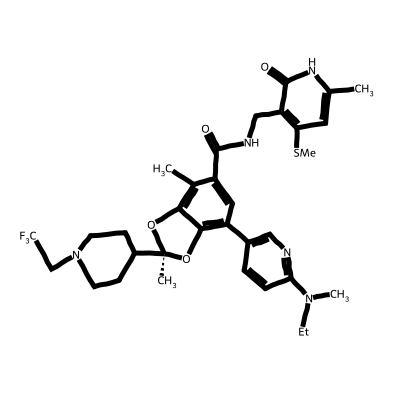 CCN(C)c1ccc(-c2cc(C(=O)NCc3c(SC)cc(C)[nH]c3=O)c(C)c3c2O[C@@](C)(C2CCN(CC(F)(F)F)CC2)O3)cn1